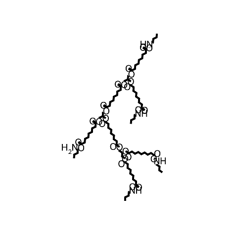 CCCCNOC(=O)CCCCCCCC(=O)OCC(COC(=O)CCCCCCCC(=O)OCC(COC(=O)CCCCCCCC(=O)OC(N)CCC)OC(=O)CCCCCCCC(=O)OCC(COC(=O)CCCCCCCC(=O)ONCCCC)OC(=O)CCCCCCCC(=O)ONCCCC)OC(=O)CCCCCCCC(=O)ONCCCC